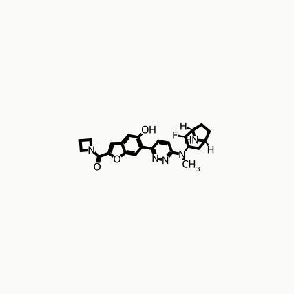 CN(c1ccc(-c2cc3oc(C(=O)N4CCC4)cc3cc2O)nn1)[C@@H]1C[C@H]2CC[C@H](N2)[C@@H]1F